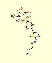 CCCCNc1nnc(-c2ccc(S(=O)(=O)N(C(=O)O)C(C)(C)C)cc2)s1